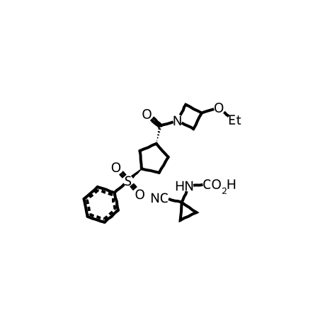 CCOC1CN(C(=O)[C@@H]2CC[C@@H](S(=O)(=O)c3ccccc3)C2)C1.N#CC1(NC(=O)O)CC1